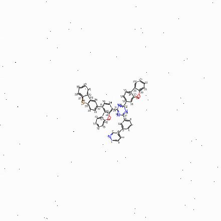 c1cncc(-c2cccc(-c3nc(-c4ccc5c(c4)oc4ccccc45)nc(-c4ccc(-c5ccc6sc7ccccc7c6c5)c5c4oc4ccccc45)n3)c2)c1